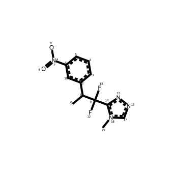 CC(c1cccc([N+](=O)[O-])c1)C(F)(F)c1nncn1C